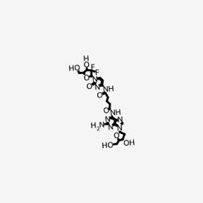 Nc1nc(NC(=O)CCCC(=O)Nc2ccn(C3OC(CO)C(O)C3(F)F)c(=O)n2)c2ncn(C3CC(O)C(CO)O3)c2n1